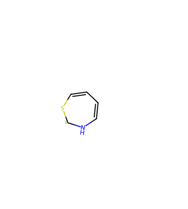 [C]1NC=CC=CS1